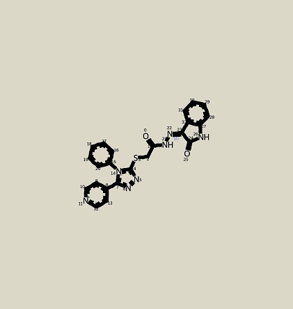 O=C(CSc1nnc(-c2ccncc2)n1-c1ccccc1)N/N=C1\C(=O)Nc2ccccc21